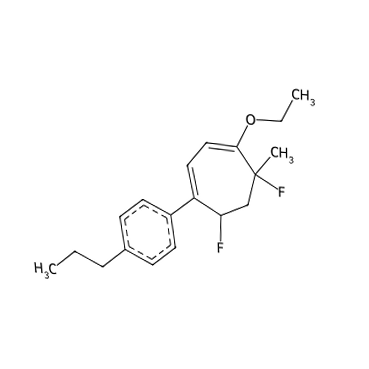 CCCc1ccc(C2=CC=C(OCC)C(C)(F)CC2F)cc1